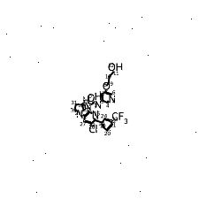 O=C(Nc1cncc(OCCCO)c1)N1c2nc(-c3cccc(C(F)(F)F)c3)c(Cl)cc2N2CC[C@H]1C2